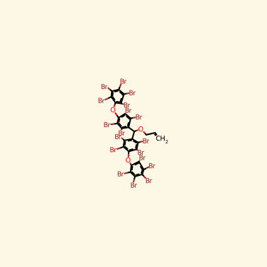 C=CCOC(c1c(Br)c(Br)c(Oc2c(Br)c(Br)c(Br)c(Br)c2Br)c(Br)c1Br)c1c(Br)c(Br)c(Oc2c(Br)c(Br)c(Br)c(Br)c2Br)c(Br)c1Br